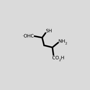 NC(CC(S)[C]=O)C(=O)O